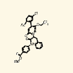 CC(=O)c1ccc(Cl)cc1-c1cc(=O)n(C(Cc2ccccc2)C(=O)Nc2ccc(C(=O)OC(C)(C)C)cc2)nc1OCC(F)(F)F